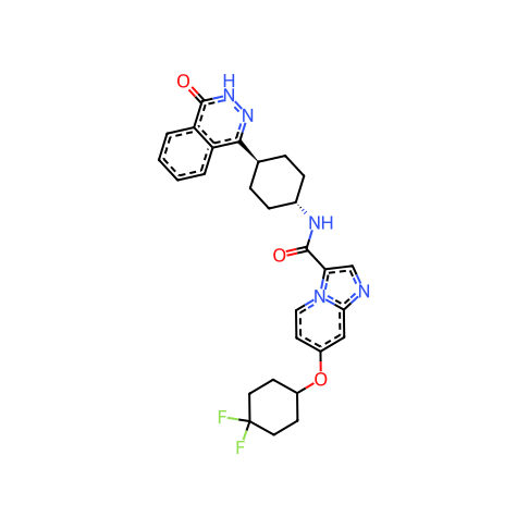 O=C(N[C@H]1CC[C@H](c2n[nH]c(=O)c3ccccc32)CC1)c1cnc2cc(OC3CCC(F)(F)CC3)ccn12